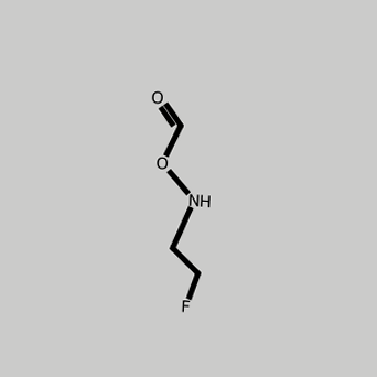 O=CONCCF